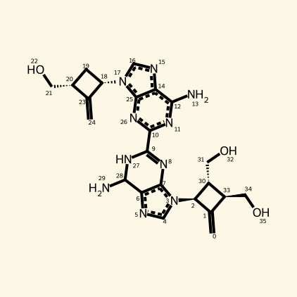 C=C1[C@@H](n2cnc3c2N=C(c2nc(N)c4ncn([C@H]5C[C@@H](CO)C5=C)c4n2)NC3N)[C@H](CO)[C@H]1CO